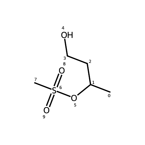 CC(CCO)OS(C)(=O)=O